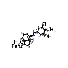 C=C1[C@H](C)C/C(=C/C=C2\CCC[C@]3(C)C([C@@H](C)CCC)CC[C@@H]23)C[C@H]1O